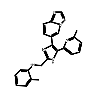 Cc1cccc(-c2[nH]c(CNc3ccccc3C)nc2-c2ccc3ncnn3c2)n1